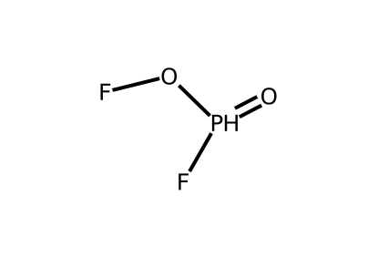 O=[PH](F)OF